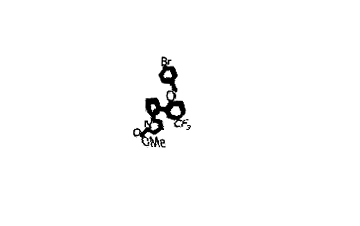 COC(=O)c1cccc(C2=C(c3cc(C(F)(F)F)ccc3OCc3ccc(Br)cc3)CCC2)n1